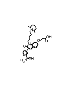 CC1CCCC(C)N1CCCCCn1c(=O)c(-c2cccc(C(=N)N)c2)cc2ccc(OCCC(=O)O)cc21